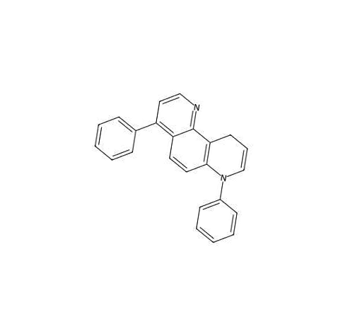 C1=CN(c2ccccc2)c2ccc3c(-c4ccccc4)ccnc3c2C1